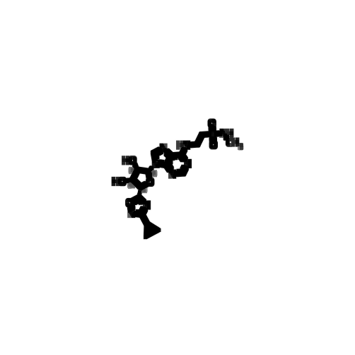 CNS(=O)(=O)CCNc1ncnc2c1ncn2[C@@H]1O[C@H](c2nc(C3CC3)no2)[C@@H](O)[C@H]1O